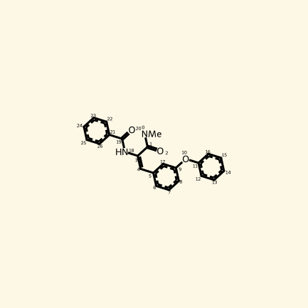 CNC(=O)/C(=C\c1cccc(Oc2ccccc2)c1)NC(=O)c1ccccc1